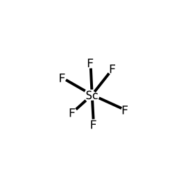 [F][Sc]([F])([F])([F])([F])[F]